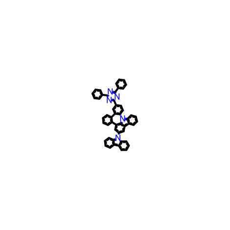 c1ccc(-c2nc(-c3ccccc3)nc(-c3ccc4c(c3)-c3ccccc3-c3cc(-n5c6ccccc6c6ccccc65)cc5c6ccccc6n-4c35)n2)cc1